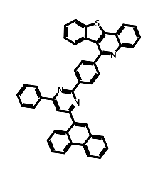 c1ccc(-c2cc(-c3cc4ccccc4c4ccccc34)nc(-c3ccc(-c4nc5ccccc5c5sc6ccccc6c45)cc3)n2)cc1